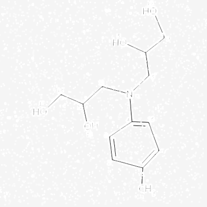 Cc1ccc(N(CC(O)CO)CC(O)CO)cc1